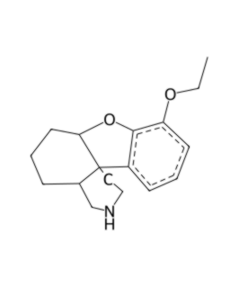 CCOc1cccc2c1OC1CCCC3CNCCC231